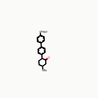 CCCCCCCc1ccc(-c2ccc(C3CCC(CCCC)CC3=O)cc2)cc1